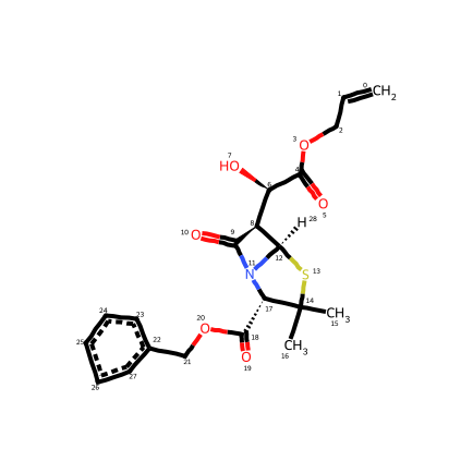 C=CCOC(=O)[C@H](O)[C@@H]1C(=O)N2[C@@H]1SC(C)(C)[C@@H]2C(=O)OCc1ccccc1